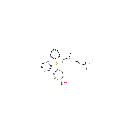 COC(C)(C)CCCC(C)=CC[P+](c1ccccc1)(c1ccccc1)c1ccccc1.[Br-]